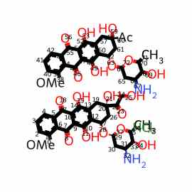 COc1cccc2c1C(=O)c1c(O)c3c(c(O)c1C2=O)C[C@@](O)(C(=O)CO)C[C@@H]3O[C@H]1C[C@H](N)[C@H](O)[C@H](C)O1.COc1cccc2c1C(=O)c1c(O)c3c(c(O)c1C2=O)C[C@@](O)(C(C)=O)C[C@@H]3OC1CC(N)C(O)C(C)O1.Cl